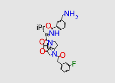 CC(C)C[C@H](NC(=O)c1cccc(CN)c1)C(=O)N1CCC2[C@H]1C(=O)CN2C(=O)Cc1cccc(F)c1